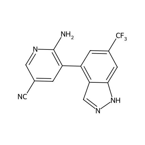 N#Cc1cnc(N)c(-c2cc(C(F)(F)F)cc3[nH]ncc23)c1